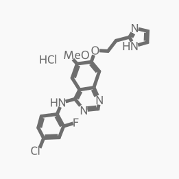 COc1cc2c(Nc3ccc(Cl)cc3F)ncnc2cc1OCCc1ncc[nH]1.Cl